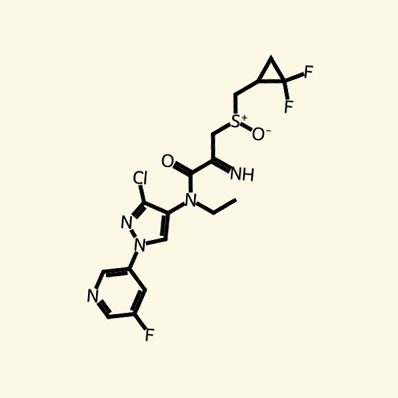 CCN(C(=O)C(=N)C[S+]([O-])CC1CC1(F)F)c1cn(-c2cncc(F)c2)nc1Cl